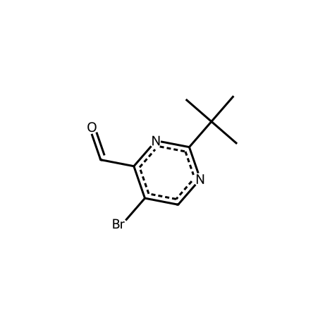 CC(C)(C)c1ncc(Br)c(C=O)n1